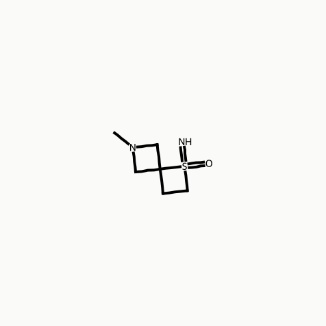 CN1CC2(CCS2(=N)=O)C1